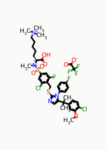 COc1cc(C(C)(C)c2cnc(SCc3c(F)cc(S(=O)(=O)N(C)[C@@H](CCCCC[N+](C)(C)C)C(=O)O)cc3Cl)n2-c2ccc(F)cc2)ccc1Cl.O=C([O-])C(F)(F)F